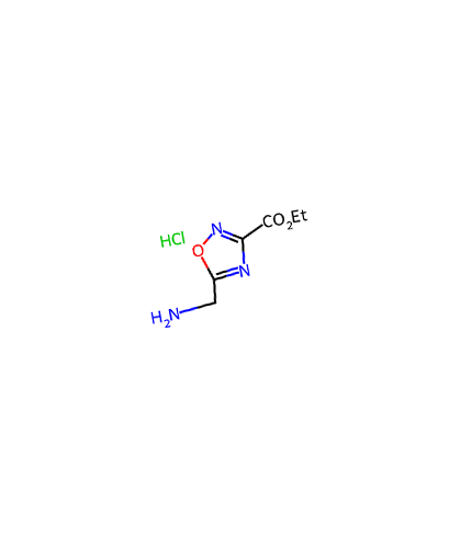 CCOC(=O)c1noc(CN)n1.Cl